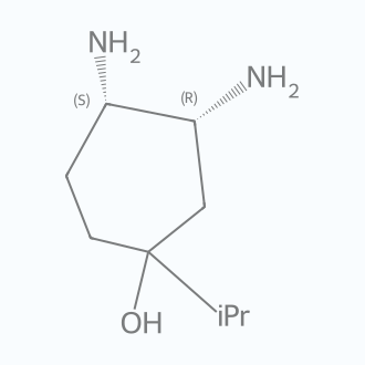 CC(C)C1(O)CC[C@H](N)[C@H](N)C1